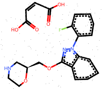 Fc1ccccc1-n1nc(OC[C@@H]2CNCCO2)c2ccccc21.O=C(O)/C=C\C(=O)O